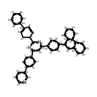 C1=CC(c2nc(-c3ccc(-c4cccnc4)cc3)cc(-c3ccc(-c4cc5ccccc5c5ccccc45)cc3)n2)CC=C1c1ccccc1